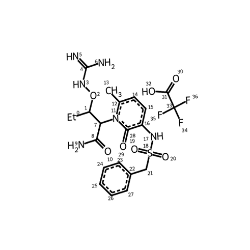 CCC(ONC(=N)N)C(C(N)=O)n1c(C)ccc(NS(=O)(=O)Cc2ccccc2)c1=O.O=C(O)C(F)(F)F